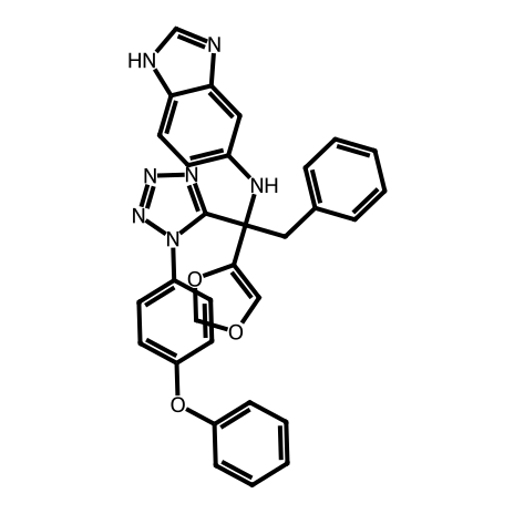 C1=C(C(Cc2ccccc2)(Nc2ccc3[nH]cnc3c2)c2nnnn2-c2ccc(Oc3ccccc3)cc2)OCO1